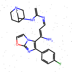 C=C(/N=C\C=C(/N)c1c(-c2ccc(F)cc2)nc2occn12)NC1CN2CCC1CC2